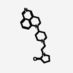 O=C1CCCN1CCN1CCC(N2CCc3cncc4cccc2c34)CC1